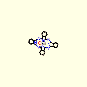 [O]=[Sn]1[n]2c3c4ccccc4c2N=C2N=C(N=c4c5ccccc5c([n]41)=NC1=NC(=N3)c3ccccc31)c1ccccc12